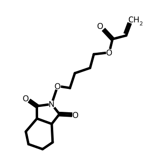 C=CC(=O)OCCCCON1C(=O)C2CCCCC2C1=O